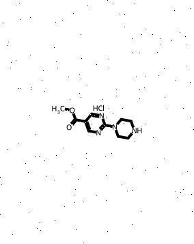 COC(=O)c1cnc(N2CCNCC2)nc1.Cl